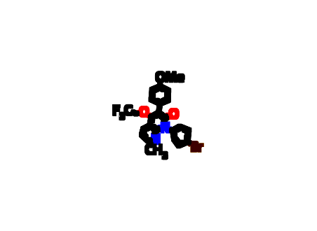 COc1ccc(-c2c(OCC(F)(F)F)c3ccc(C)nc3n(-c3ccc(Br)cc3)c2=O)cc1